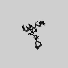 Nc1c(Br)c(C2CCS(=O)(=O)CC2)nc2c(-c3cnn(-c4ccccc4)c3)cnn12